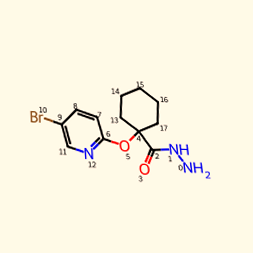 NNC(=O)C1(Oc2ccc(Br)cn2)CCCCC1